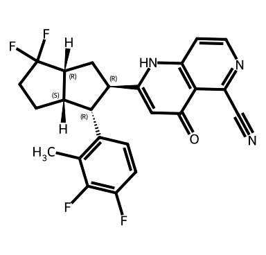 Cc1c([C@@H]2[C@@H]3CCC(F)(F)[C@@H]3C[C@H]2c2cc(=O)c3c(C#N)nccc3[nH]2)ccc(F)c1F